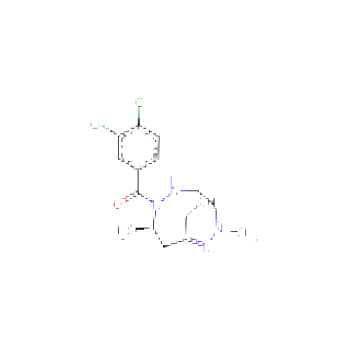 CC/C1=N\N(C)CCNN(C(=O)c2ccc(Cl)c(Cl)c2)[C@H](C)C1